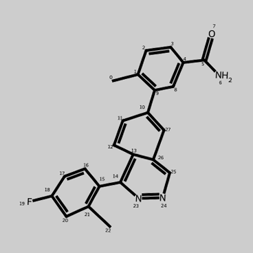 Cc1ccc(C(N)=O)cc1-c1ccc2c(-c3ccc(F)cc3C)nncc2c1